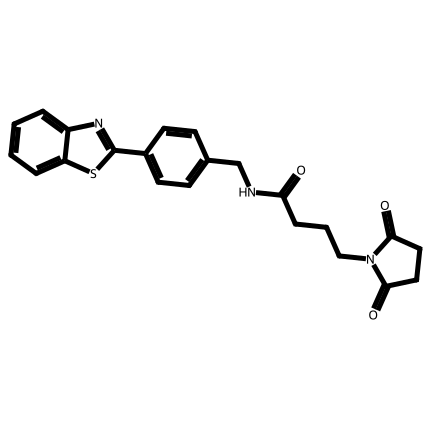 O=C(CCCN1C(=O)CCC1=O)NCc1ccc(-c2nc3ccccc3s2)cc1